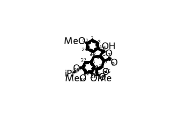 COc1ccc(C2(O)OC(=O)C(C3=CCOO3)=C2Cc2cc(OC)c(OC)c(OC(C)C)c2)cc1